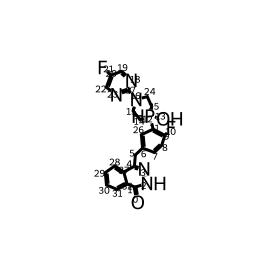 O=c1[nH]nc(Cc2ccc(F)c([PH]3(O)CCN(c4ncc(F)cn4)CC3)c2)c2ccccc12